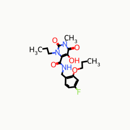 CCCOc1cc(F)ccc1CNC(=O)c1c(O)c(=O)n(C)c(=O)n1CCC